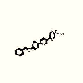 CCCCCCCCOc1cnc(-c2ccc(-c3ccc(OCc4ccccc4)cc3)nc2)cn1